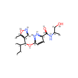 CCC(C)[C@H](Oc1ccc(C(=O)NC(C)CO)nn1)c1cnoc1C